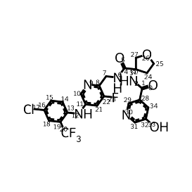 O=C(N[C@@]1(C(=O)NCc2ncc(Nc3ccc(Cl)cc3C(F)(F)F)cc2F)CCOC1)c1cncc(O)c1